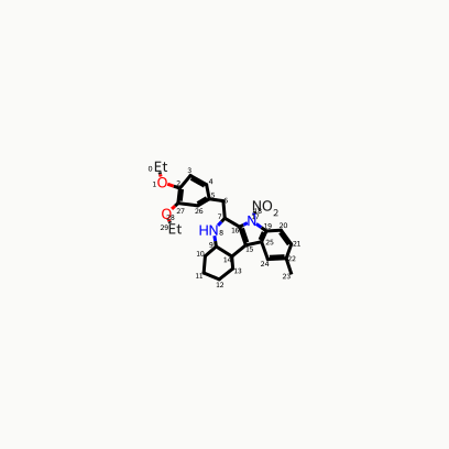 CCOc1ccc(CC2NC3CCCCC3c3c2n([N+](=O)[O-])c2ccc(C)cc32)cc1OCC